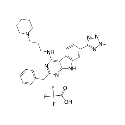 Cn1nnc(-c2ccc3c(c2)[nH]c2nc(Cc4ccccc4)nc(NCCCN4CCCCC4)c23)n1.O=C(O)C(F)(F)F